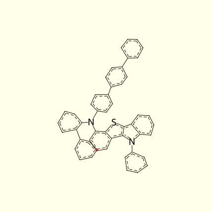 c1ccc(-c2ccc(-c3ccc(N(c4ccccc4-c4ccccc4)c4cccc5c4sc4c6ccccc6n(-c6ccccc6)c54)cc3)cc2)cc1